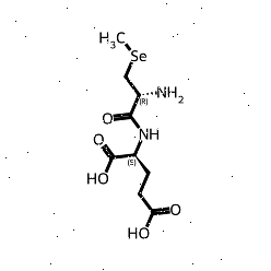 C[Se]C[C@H](N)C(=O)N[C@@H](CCC(=O)O)C(=O)O